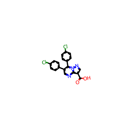 O=C(O)c1cnn2c(-c3ccc(Cl)cc3)c(-c3ccc(Cl)cc3)cnc12